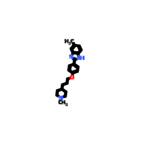 Cc1ccc2[nH]c(-c3ccc(OCCCC4CCN(C)CC4)cc3)nc2c1